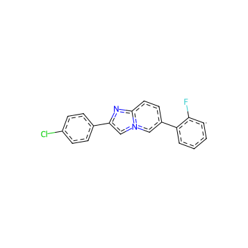 Fc1[c]cccc1-c1ccc2nc(-c3ccc(Cl)cc3)cn2c1